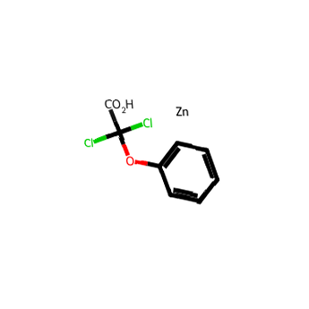 O=C(O)C(Cl)(Cl)Oc1ccccc1.[Zn]